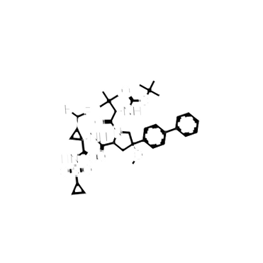 CO[C@@]1(c2ccc(-c3ccccc3)cc2)CC(C(=O)N[C@]2(C(=O)NS(=O)(=O)C3CC3)C[C@H]2C(F)F)N(C(=O)[C@@H](NC(=O)OC(C)(C)C)C(C)(C)C)C1